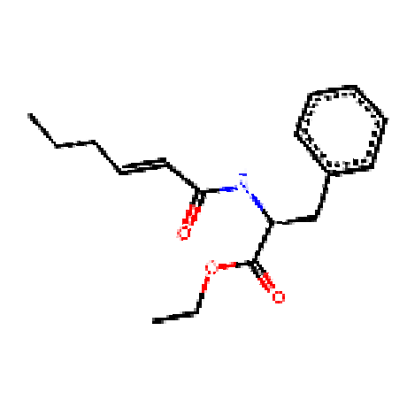 CCC/C=C/C(=O)N[C@@H](Cc1ccccc1)C(=O)OCC